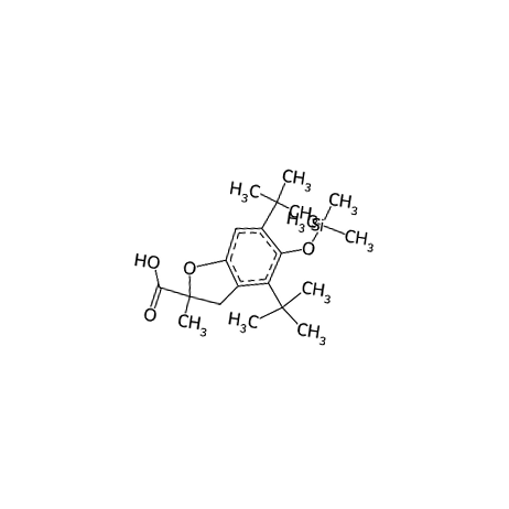 CC1(C(=O)O)Cc2c(cc(C(C)(C)C)c(O[Si](C)(C)C)c2C(C)(C)C)O1